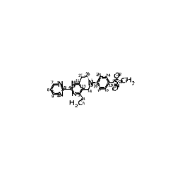 C=Cc1nc(-c2ncccn2)nc2c1CN(c1ccc(S(C)(=O)=O)cc1)CC2